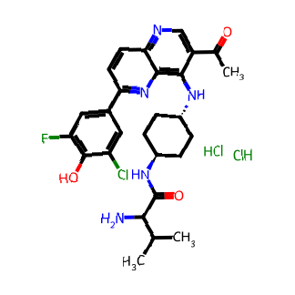 CC(=O)c1cnc2ccc(-c3cc(F)c(O)c(Cl)c3)nc2c1N[C@H]1CC[C@H](NC(=O)C(N)C(C)C)CC1.Cl.Cl